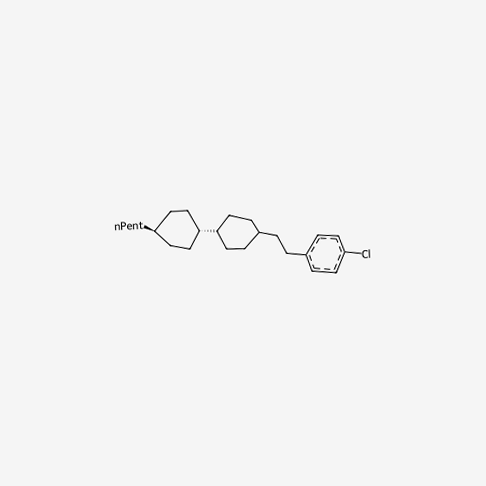 CCCCC[C@H]1CC[C@H](C2CCC(CCc3ccc(Cl)cc3)CC2)CC1